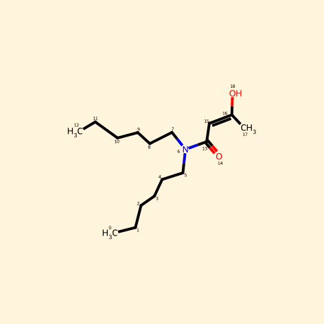 CCCCCCN(CCCCCC)C(=O)/C=C(\C)O